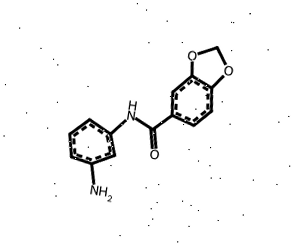 Nc1cccc(NC(=O)c2ccc3c(c2)OCO3)c1